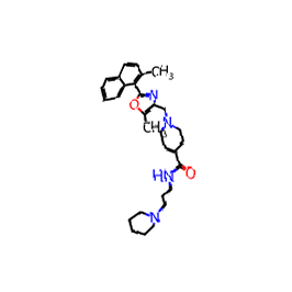 Cc1ccc2ccccc2c1-c1nc(CN2CCC(C(=O)NCCCN3CCCCC3)CC2)c(C)o1